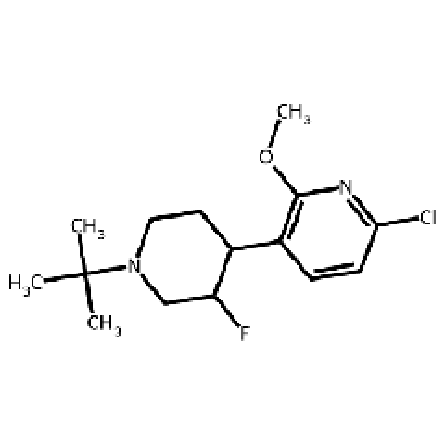 COc1nc(Cl)ccc1C1CCN(C(C)(C)C)CC1F